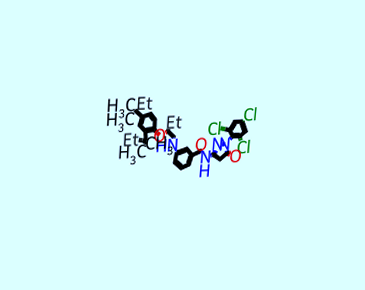 CCC(CNc1cccc(C(=O)NC2=NN(c3c(Cl)cc(Cl)cc3Cl)C(=O)C2)c1)Oc1ccc(C(C)(C)CC)cc1C(C)(C)CC